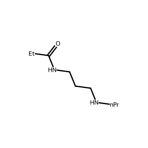 CCCNCCCNC(=O)CC